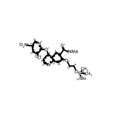 CNC(=O)c1cc2c(Oc3ncc([N+](=O)[O-])cc3Cl)ccnc2cc1OCCO[Si](C)(C)C(C)(C)C